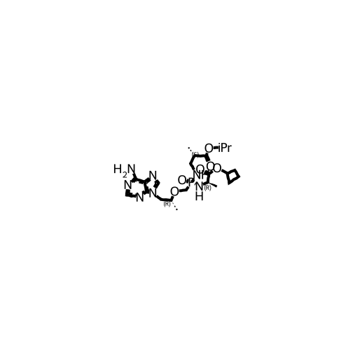 CC(C)OC(=O)[C@@H](C)CNP(=O)(CO[C@H](C)Cn1cnc2c(N)ncnc21)N[C@H](C)C(=O)OC1CCC1